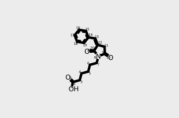 O=C(O)CCCCCN1C(=O)CC(=Cc2ccccc2)C1=O